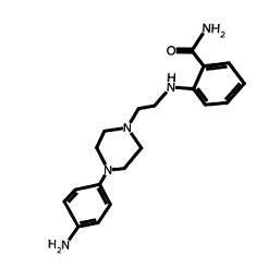 NC(=O)c1ccccc1NCCN1CCN(c2ccc(N)cc2)CC1